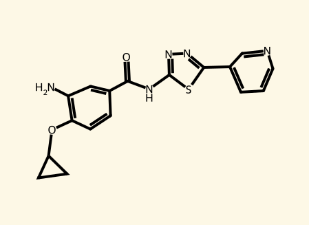 Nc1cc(C(=O)Nc2nnc(-c3cccnc3)s2)ccc1OC1CC1